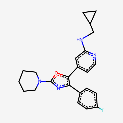 Fc1ccc(-c2nc(N3CCCCC3)oc2-c2ccnc(NCC3CC3)c2)cc1